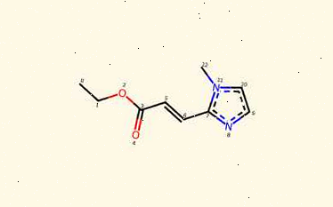 CCOC(=O)C=Cc1nccn1C